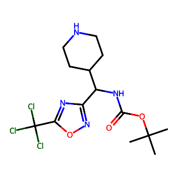 CC(C)(C)OC(=O)NC(c1noc(C(Cl)(Cl)Cl)n1)C1CCNCC1